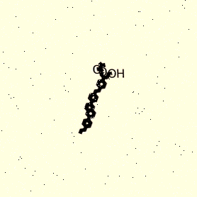 C=C(C)C(=O)OCC(CCO)C1CCC(CCc2ccc(-c3ccc4c(c3)CCC(c3ccc(CCC)cc3)C4)cc2)CC1